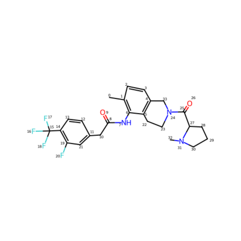 Cc1ccc2c(c1NC(=O)Cc1ccc(C(F)(F)F)c(F)c1)CCN(C(=O)C1CCCN1C)C2